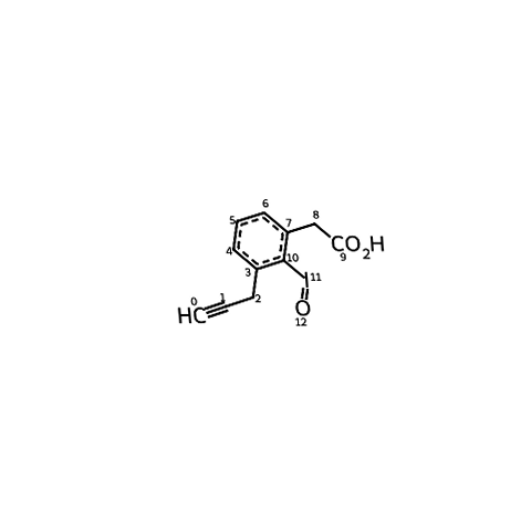 C#CCc1cccc(CC(=O)O)c1I=O